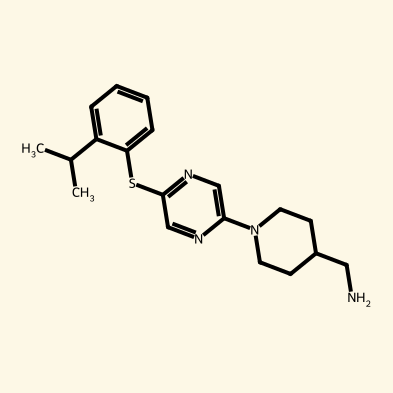 CC(C)c1ccccc1Sc1cnc(N2CCC(CN)CC2)cn1